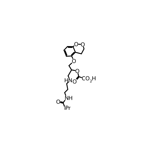 CC(C)C(=O)NCCCNCC(COc1cccc2c1CCOO2)OC(=O)C(=O)O